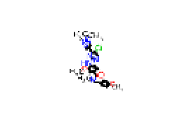 COc1ccc(CN(C)C(=O)c2ccc(Nc3ncc(Cl)c(-c4cnn(C(C)C)c4)n3)c(OC)c2)cc1